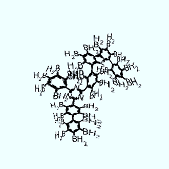 Bc1c(B)c(B)c(-c2nc(-c3c(B)c(B)c(-c4c(B)c(B)c(B)c(B)c4B)c(B)c3B)nc(-c3c(B)c(B)c(B)c(-c4c(B)c(B)c(B)c5c4sc4c(-c6c(B)c(B)c(B)c(B)c6B)c(B)c(B)c(B)c45)c3B)n2)c(B)c1B